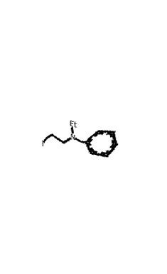 CCN(CCI)c1ccccc1